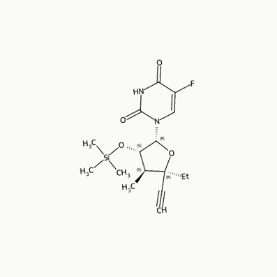 C#C[C@]1(CC)O[C@@H](n2cc(F)c(=O)[nH]c2=O)[C@@H](O[Si](C)(C)C)[C@@H]1C